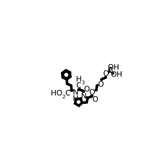 CC(NC(CCc1ccccc1)C(=O)O)C(=O)N1C(C(=O)OCCOCCON(O)O)CC2CCCC21